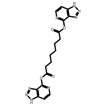 O=C(CCCCCCC(=O)Oc1nccc2[nH]nnc12)Oc1nccc2[nH]nnc12